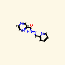 O=C(NN=Cc1ccccn1)c1cnccn1